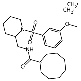 COc1cccc(S(=O)(=O)N2CCCCC2CNC(=O)[C]2CCCCCCC2)c1.[CH2].[CH2]